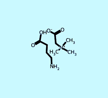 C[N+](C)(C)CC(=O)[O-].NCCCC(=O)O